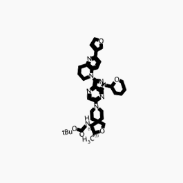 C[C@@H]1OCC2(CCN(c3cnc4c(N5CCCc6nc(C7=CCOC7)ccc65)nn(C5CCCCO5)c4n3)CC2)[C@@H]1NC(=O)OC(C)(C)C